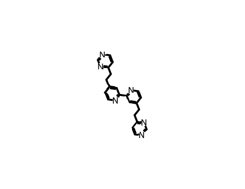 c1cc(CCc2ccnc(-c3cc(CCc4ccncn4)ccn3)c2)ncn1